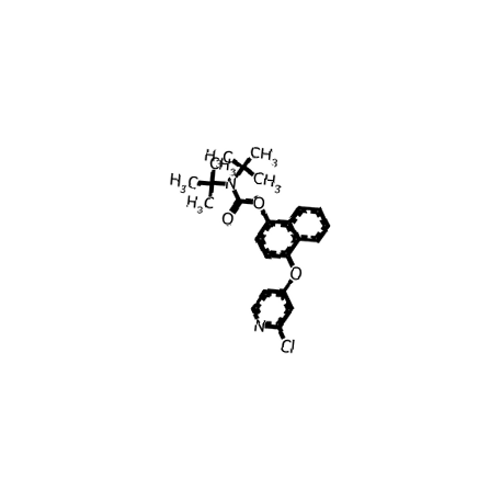 CC(C)(C)N(C(=O)Oc1ccc(Oc2ccnc(Cl)c2)c2ccccc12)C(C)(C)C